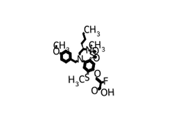 CCCC[C@@H]1CN(Cc2ccc(OC)cc2)c2cc(SC)c(O/C=C(\F)C(=O)O)cc2S(=O)(=O)N1C